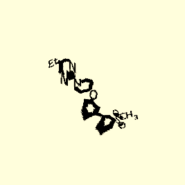 CCc1cnc(N2CCC(Oc3cccc(-c4cccc(S(C)(=O)=O)c4)c3)CC2)nc1